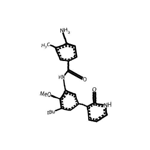 COc1c(NC(=O)c2ccc(N)c(C)c2)cc(-c2ccc[nH]c2=O)cc1C(C)(C)C